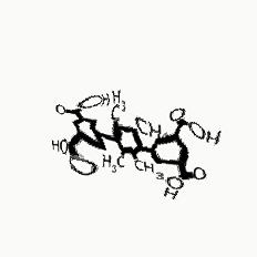 Cc1c(C)c(-c2cc(C(=O)O)cc(C(=O)O)c2)c(C)c(C)c1-c1cc(C(=O)O)cc(C(=O)O)c1